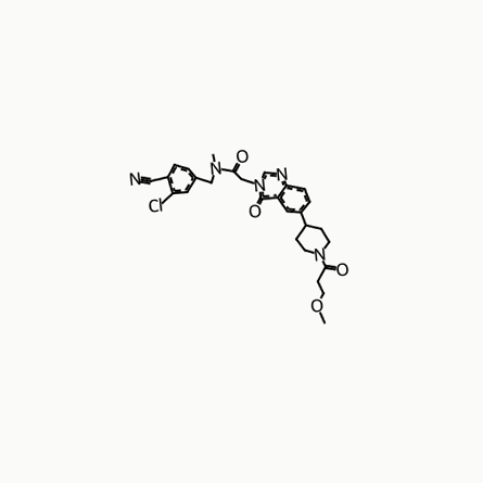 COCCC(=O)N1CCC(c2ccc3ncn(CC(=O)N(C)Cc4ccc(C#N)c(Cl)c4)c(=O)c3c2)CC1